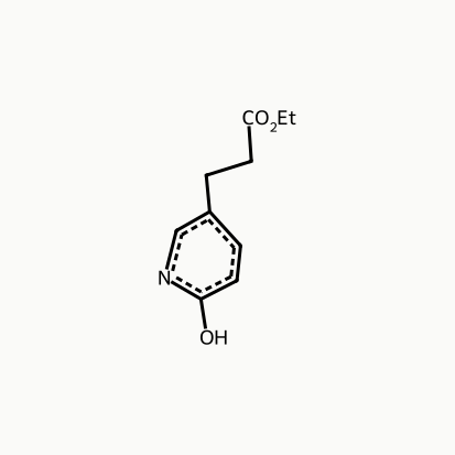 CCOC(=O)CCc1ccc(O)nc1